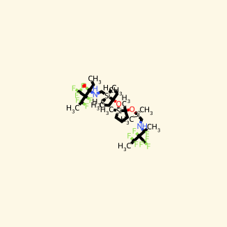 CCC(F)(NC[Si](C)(C)C(CC)(CC)O[Si]1(C)CCCC1(C)O[Si](C)(C)CNC(C)(F)C(F)(C(C)(F)F)C(F)(F)F)C(F)(C(C)(F)F)C(F)(F)F